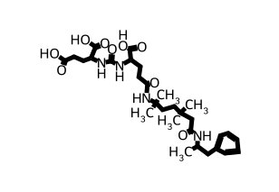 CC(Cc1ccccc1)NC(=O)CC(C)(C)CCC(C)(C)NC(=O)CCC(NC(=O)NC(CCC(=O)O)C(=O)O)C(=O)O